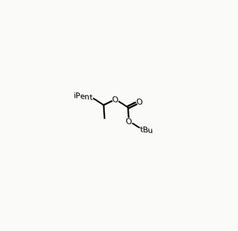 CCCC(C)C(C)OC(=O)OC(C)(C)C